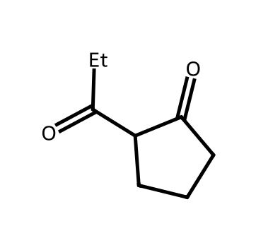 CCC(=O)C1CCCC1=O